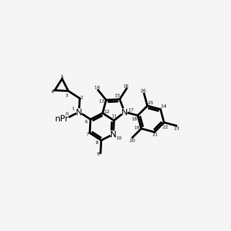 CCCN(CC1CC1)c1cc(C)nc2c1c(C)c(C)n2-c1c(C)cc(C)cc1C